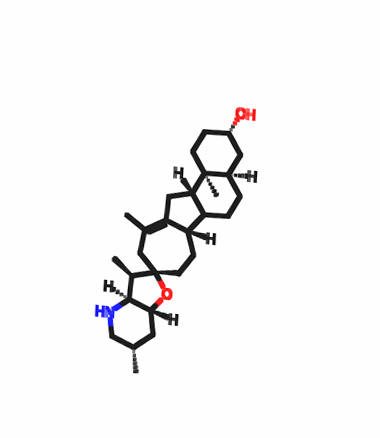 CC1=C2C[C@H]3C(CC[C@@H]4C[C@@H](O)CC[C@@]43C)[C@@H]2CC[C@@]2(C1)O[C@@H]1C[C@H](C)CN[C@H]1[C@H]2C